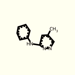 Cc1cnnc(Nc2ccccc2)c1